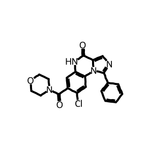 O=C(c1cc2[nH]c(=O)c3cnc(-c4ccccc4)n3c2cc1Cl)N1CCOCC1